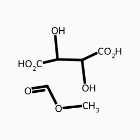 COC=O.O=C(O)C(O)C(O)C(=O)O